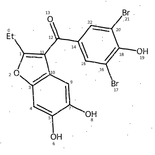 CCc1oc2cc(O)c(O)cc2c1C(=O)c1cc(Br)c(O)c(Br)c1